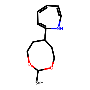 [SnH][CH]1OCCC(C2=CC=CC=CN2)CCO1